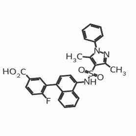 Cc1nn(-c2ccccc2)c(C)c1S(=O)(=O)Nc1ccc(-c2cc(C(=O)O)ccc2F)c2ccccc12